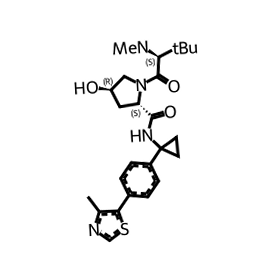 CN[C@H](C(=O)N1C[C@H](O)C[C@H]1C(=O)NC1(c2ccc(-c3scnc3C)cc2)CC1)C(C)(C)C